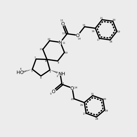 O=C(N[C@@H]1C[C@H](O)CC12CCN(C(=O)OCc1ccccc1)CC2)OCc1ccccc1